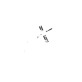 O=S(=O)([O-])[O-].[K+].[K+].[LiH].[LiH]